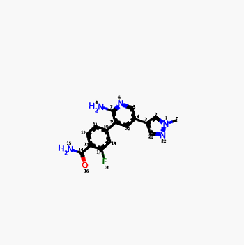 Cn1cc(-c2cnc(N)c(-c3ccc(C(N)=O)c(F)c3)c2)cn1